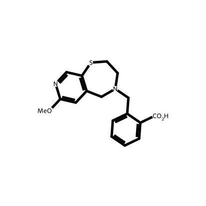 COc1cc2c(cn1)SCCN(Cc1ccccc1C(=O)O)C2